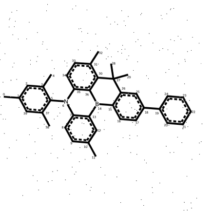 Cc1cc(C)c(N2c3ccc(C)cc3B3c4ccc(-c5ccccc5)cc4C(C)(C)c4c(C)ccc2c43)c(C)c1